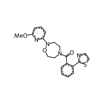 COc1cccc(N2CCN(C(=O)c3ccccc3-c3nccs3)CCO2)n1